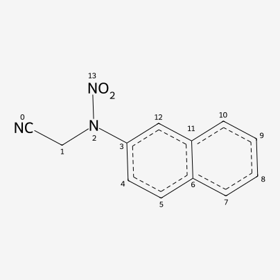 N#CCN(c1ccc2ccccc2c1)[N+](=O)[O-]